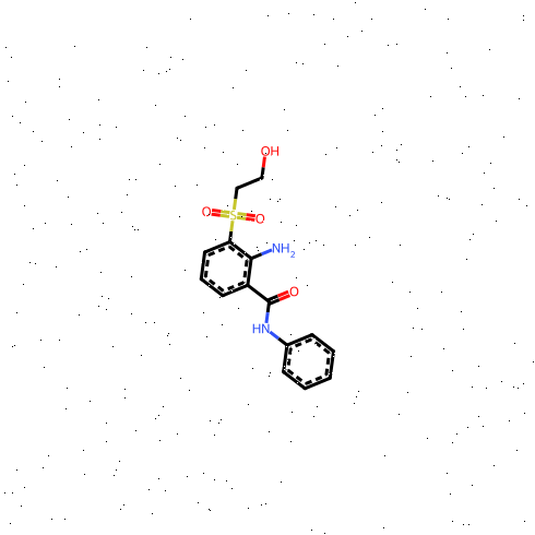 Nc1c(C(=O)Nc2ccccc2)cccc1S(=O)(=O)CCO